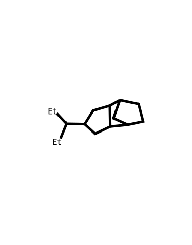 CC[C](CC)C1CC2C3CCC(C3)C2C1